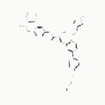 CCCCOCCOc1ccc(-c2ccc3c(c2)C=C(C(=O)Nc2ccc(CN(C)C4CCOCC4)cc2)CCN3Cc2cnn(C)c2)cc1